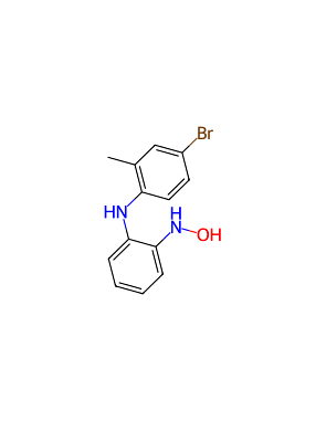 Cc1cc(Br)ccc1Nc1ccccc1NO